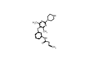 C=CCC(=O)Nc1cccc(Sc2c(C)nc(N3CCNCC3)nc2C)c1